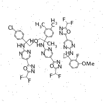 COc1cccc(C2(Nc3ncc(-c4nnc(C(F)F)o4)cn3)CC2)c1F.Cc1ccc(C(C)(CO)Nc2ncc(-c3nnc(C(F)F)o3)cn2)cc1C.FC(F)c1nnc(-c2cnc(NC3(c4ccc(Cl)cc4)CCC3)nc2)o1